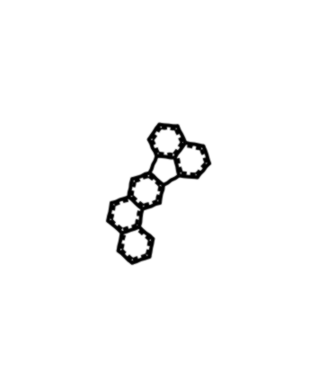 c1cc2c3c(cccc3c1)-c1cc3c(ccc4ccccc43)cc1-2